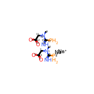 CN(CC(=O)[O-])C(=N)P.CN(CC(=O)[O-])C(=N)P.[Na+].[Na+]